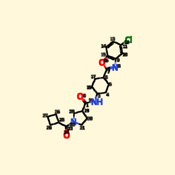 O=C(NC1CCC(c2nc3cc(Cl)ccc3o2)CC1)C1CCN(C(=O)C2CCC2)C1